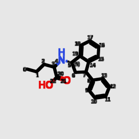 CCCC(N[C@H]1CC(c2ccccc2)c2ccccc21)C(=O)O